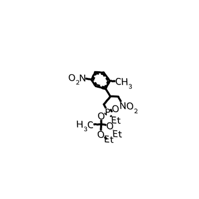 CCOC(C)(OCC)OP(=O)(CC)CC(C[N+](=O)[O-])c1cc([N+](=O)[O-])ccc1C